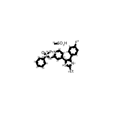 CCc1nc(-c2ccc(F)cc2)c(-c2ccnc(N=S(=O)(c3ccccc3)C(C)C)c2)s1.CS(=O)(=O)O